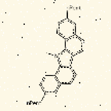 CCCCCc1ccc2c(ccc3c4ccc5cc(CCCCC)ccc5c4n(C)c23)c1